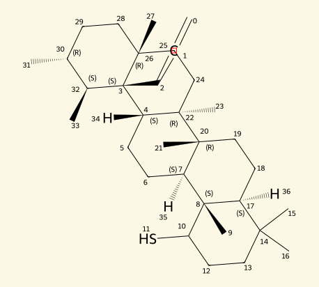 C=C=C[C@]12[C@H]3CC[C@@H]4[C@@]5(C)C(S)CCC(C)(C)[C@@H]5CC[C@@]4(C)[C@]3(C)CC[C@@]1(C)CC[C@@H](C)[C@@H]2C